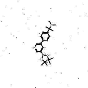 CN(C)C(C)(C)c1ccc(-c2cncc(B3OC(C)(C)C(C)(C)O3)c2)cc1